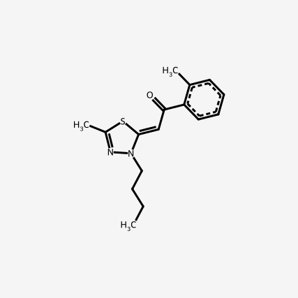 CCCCN1N=C(C)S/C1=C\C(=O)c1ccccc1C